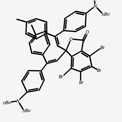 CCCCN(CCCC)c1ccc(C(=CC2(C=C(c3ccc(C)cc3)c3ccc(N(CCCC)CCCC)cc3)OC(=O)c3c(Br)c(Br)c(Br)c(Br)c32)c2ccc(C)cc2)cc1